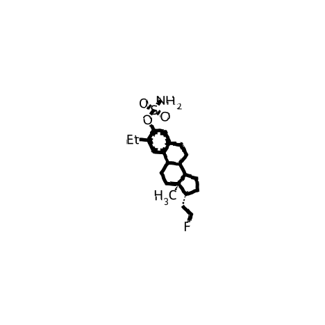 CCc1cc2c(cc1OS(N)(=O)=O)CCC1C2CC[C@@]2(C)C1CC[C@@H]2CCF